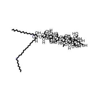 CCCCCCCC/C=C\CCCCCCCCCCCCCCCC(=O)N[C@@H](CO[C@@H]1OC(CO)[C@@H](O[C@@H]2OC(CO)[C@H](O[C@@H]3OC(CO)[C@H](O)[C@H](O[C@@H]4OC(CO)[C@H](O)[C@H](O[C@@H]5OC(CO)[C@H](O)[C@H](O[C@]6(C(=O)O)CC(O)[C@@H](NC(=O)CO)C([C@H](O)[C@H](O)CO)O6)C5O)C4NC(C)=O)C3O)[C@H](O)C2O)[C@H](O)C1O)[C@H](O)/C=C/CCCCCCCCCCCCC